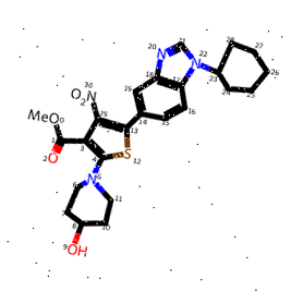 COC(=O)c1c(N2CCC(O)CC2)sc(-c2ccc3c(c2)ncn3C2CCCCC2)c1[N+](=O)[O-]